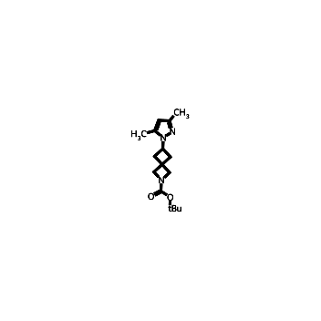 Cc1cc(C)n(C2CC3(C2)CN(C(=O)OC(C)(C)C)C3)n1